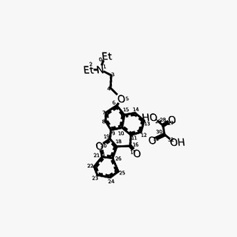 CCN(CC)CCOc1ccc2c3c(cccc13)C(=O)c1c-2oc2ccccc12.O=C(O)C(=O)O